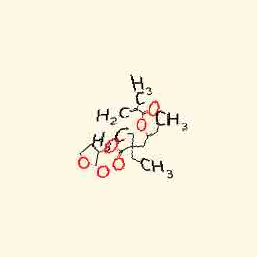 C=C(C)C(=O)OC(CC)CC(CC)(CC)C(=O)OC1CCOC1=O